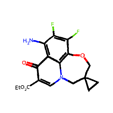 CCOC(=O)c1cn2c3c(c(F)c(F)c(N)c3c1=O)OCC1(CC1)C2